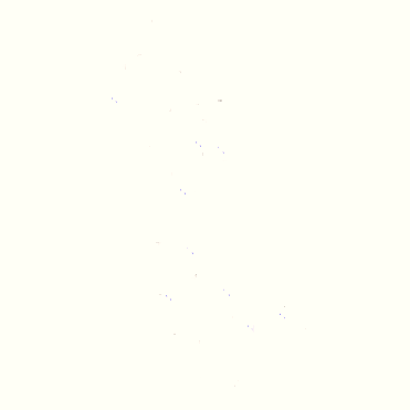 Cc1ccnn1-c1nc(N2CCN(C(=O)N3N=CC[C@H]3c3cncc(F)c3)CC2)ncc1F